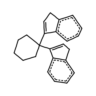 C1=C(C2(C3=CCc4ccccc43)CCCCC2)c2ccccc2C1